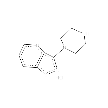 Cl.c1cnc2c(N3CCNCC3)nsc2c1